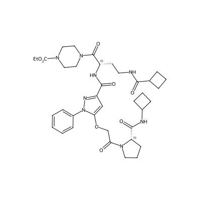 CCOC(=O)N1CCN(C(=O)[C@H](CCNC(=O)C2CCC2)NC(=O)c2cc(OCC(=O)N3CCC[C@H]3C(=O)NC3CCC3)n(-c3ccccc3)n2)CC1